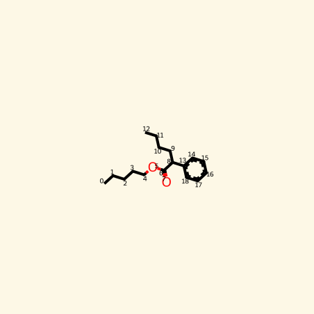 CCCCCOC(=O)C(CCCC)c1ccccc1